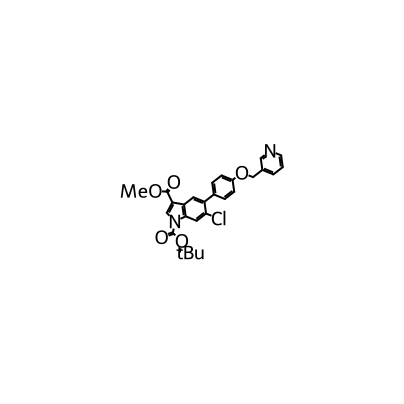 COC(=O)c1cn(C(=O)OC(C)(C)C)c2cc(Cl)c(-c3ccc(OCc4cccnc4)cc3)cc12